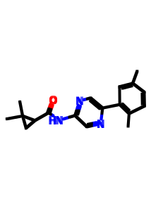 Cc1ccc(C)c(-c2cnc(NC(=O)C3CC3(C)C)cn2)c1